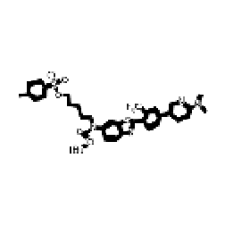 Cc1ccc(S(=O)(=O)OCCCCCN(C(=O)OC(C)(C)C)c2ccc3nc(-c4ccc(-c5ccc(N(C)C)nc5)cc4C(F)(F)F)sc3c2)cc1